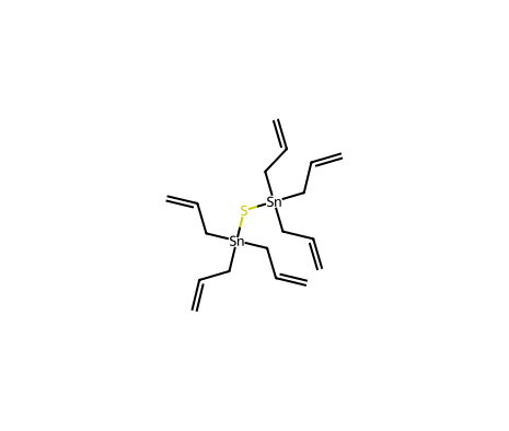 C=C[CH2][Sn]([CH2]C=C)([CH2]C=C)[S][Sn]([CH2]C=C)([CH2]C=C)[CH2]C=C